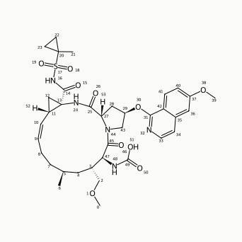 COC[C@@H]1C[C@@H](C)CC/C=C\[C@@H]2C[C@@]2(C(=O)NS(=O)(=O)C2(C)CC2)NC(=O)[C@@H]2C[C@@H](Oc3nccc4cc(OC)ccc34)CN2C(=O)[C@H]1NC(=O)O